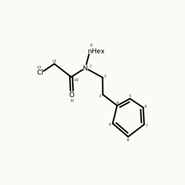 CCCCCCN(CCc1ccccc1)C(=O)CCl